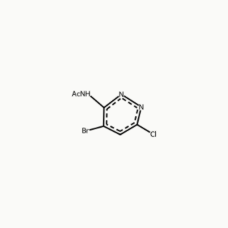 CC(=O)Nc1nnc(Cl)cc1Br